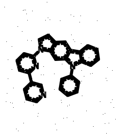 c1ccc(-n2c3ccccc3c3cc4ccn(-c5cccc(-c6cccnc6)n5)c4cc32)cc1